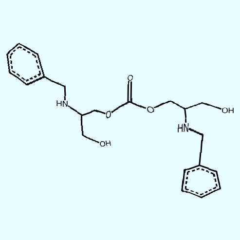 O=C(OCC(CO)NCc1ccccc1)OCC(CO)NCc1ccccc1